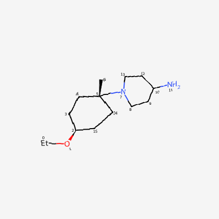 CCO[C@H]1CC[C@](C)(N2CCC(N)CC2)CC1